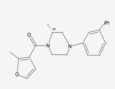 Cc1occc1C(=O)N1CCN(c2cc[c]c(C(C)C)c2)C[C@H]1C